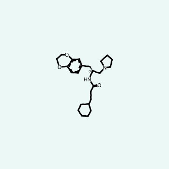 O=C(CCC1CCCCC1)N[C@@H](Cc1ccc2c(c1)OCCO2)CN1CCCC1